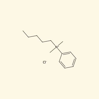 CCCCC[N+](C)(C)c1ccccc1.[Cl-]